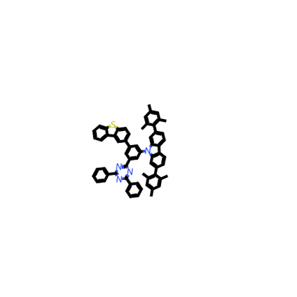 Cc1cc(C)c(-c2ccc3c4ccc(-c5c(C)cc(C)cc5C)cc4n(-c4cc(-c5ccc6sc7ccccc7c6c5)cc(-c5nc(-c6ccccc6)nc(-c6ccccc6)n5)c4)c3c2)c(C)c1